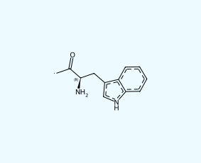 [CH2]C(=O)[C@H](N)Cc1c[nH]c2ccccc12